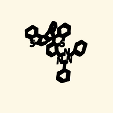 c1ccc(-c2nc(-c3ccccc3)nc(-c3cccc4c3Sc3ccccc3C43c4ccccc4-c4c3ccc3sc5ccccc5c43)n2)cc1